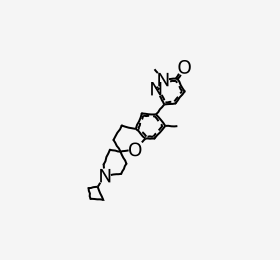 Cc1cc2c(cc1-c1ccc(=O)n(C)n1)CCC1(CCN(C3CCC3)CC1)O2